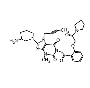 CC#CCn1c(N2CCCC(N)C2)nc2c1c(=O)n(CC(=O)c1ccccc1OCC(=O)N1CCCC1)c(=O)n2C